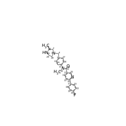 C[C@H]1CN(Cc2ccc(N(C)C(=O)c3ccc(-c4ccc(F)cc4)nc3)cc2)CCN1